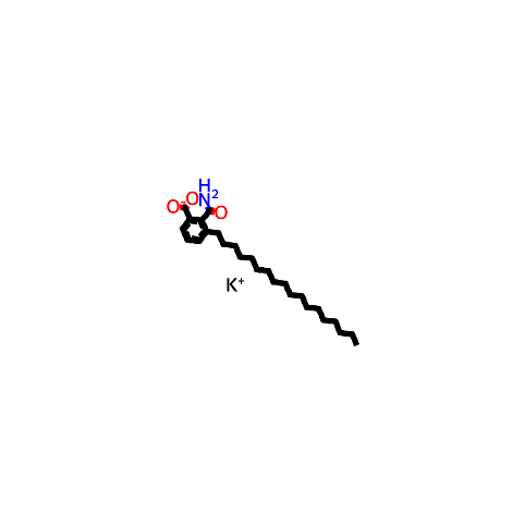 CCCCCCCCCCCCCCCCCCc1cccc(C(=O)[O-])c1C(N)=O.[K+]